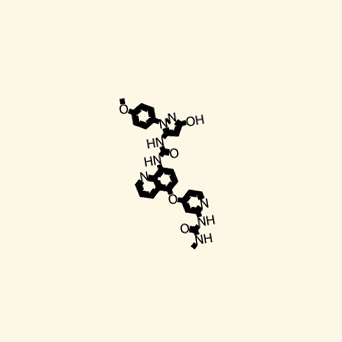 CNC(=O)Nc1cc(Oc2ccc(NC(=O)Nc3cc(O)nn3-c3ccc(OC)cc3)c3ncccc23)ccn1